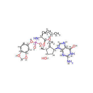 C=C1[C@H](CO[P@](=O)(N[C@@H](C)C(=O)OC(C)C)Oc2ccc3c(c2)OCO3)[C@@H](O)C[C@@H]1n1cnc2c(=O)[nH]c(N)nc21